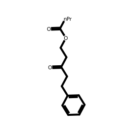 CCCC(=O)OCCC(=O)CCc1ccccc1